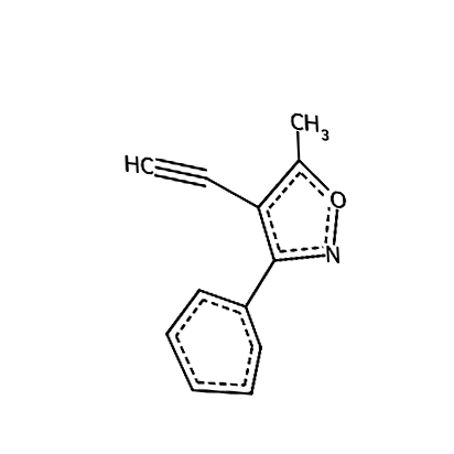 C#Cc1c(-c2ccccc2)noc1C